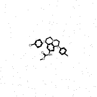 COC(=O)Nc1cc2c3c(c1)[C@H](c1ccc(I)cc1)CCN3CC[C@H]2c1ccc(Cl)cc1